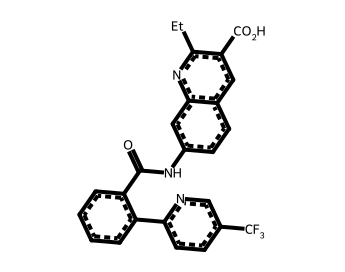 CCc1nc2cc(NC(=O)c3ccccc3-c3ccc(C(F)(F)F)cn3)ccc2cc1C(=O)O